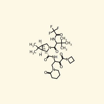 CC(C)(C)C(NC(=O)C(F)(F)F)C(=O)N1C[C@H]2[C@@H]([C@H]1C(=O)NC(CN1CCCCC1=O)C(=O)C(=O)N1CCC1)C2(C)C